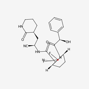 N#C[C@@H](C[C@@H]1CCCNC1=O)NC(=O)[C@@H]1[C@H]2CC[C@H](CC2(F)F)N1C(=O)[C@H](O)c1ccccc1